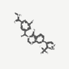 CNC(=O)c1cc(F)cc(C(C)n2cnc3cc(-c4cn[nH]c4C(F)(F)F)ccc3c2=O)c1